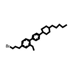 CCCCCC1CCC(c2ccc(-c3ccc(CCCBr)cc3CC)cc2)CC1